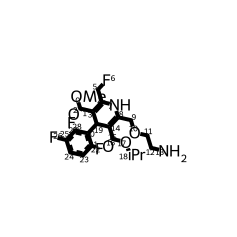 COC(=O)C1=C(CF)NC(COCCN)=C(C(=O)OC(C)C)C1c1c(F)ccc(F)c1F